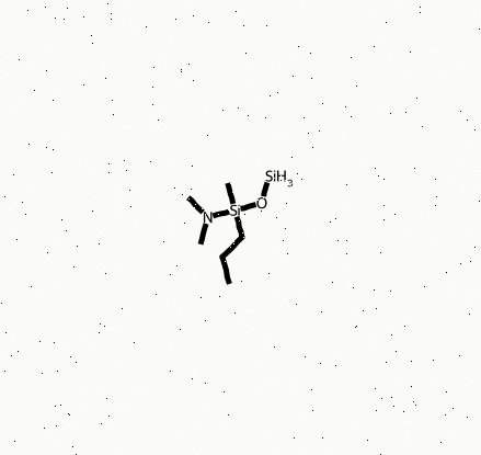 CCC[Si](C)(O[SiH3])N(C)C